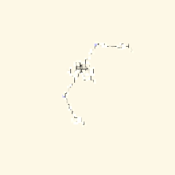 CCCCCCCC/C=C\CCCCCCCCC(CC)C(CCCCCCCC/C=C\CCCCCCCC)(C(=O)O)N(C)C